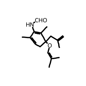 C=C(C)CC1(OC=C(C)C)CC=C(C)C(NC=O)=C1C